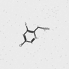 CNCc1ncc(Cl)cc1F